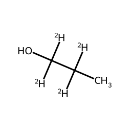 [2H]C([2H])(C)C([2H])([2H])O